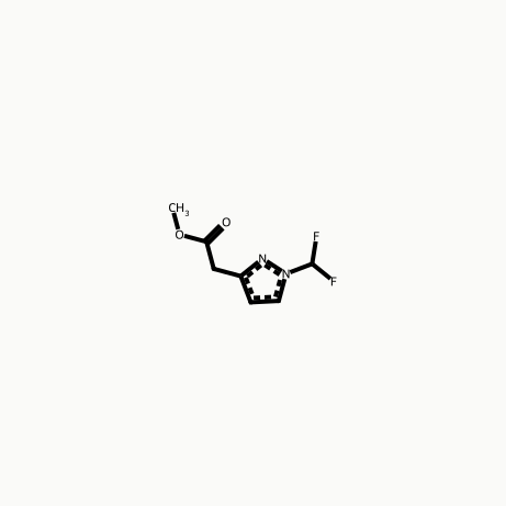 COC(=O)Cc1ccn(C(F)F)n1